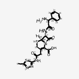 Cc1nnc(NC(=O)CC2=C(C(=O)O)N3C(=O)[C@@H](NC(=O)[C@@H](N)c4ccccc4)[C@@H]3SC2)s1